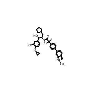 Cn1cc2ccc(-c3ccc(C(F)(F)C(=O)NC(CN4CCCC4)C(O)c4ccc(OC5CC5)c(Cl)c4)cc3)cc2n1